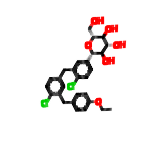 CCOc1ccc(Cc2cc(Cc3cc([C@@H]4O[C@H](CO)[C@@H](O)[C@H](O)[C@H]4O)ccc3Cl)ccc2Cl)cc1